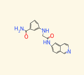 NC(=O)c1cccc(NCC(=O)Nc2ccc3cnccc3c2)c1